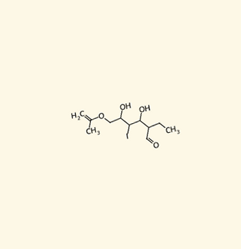 C=C(C)OCC(O)C(I)C(O)C(C=O)CC